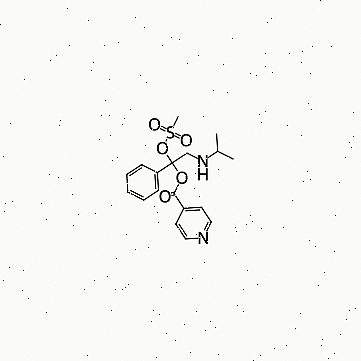 CC(C)NCC(OC(=O)c1ccncc1)(OS(C)(=O)=O)c1ccccc1